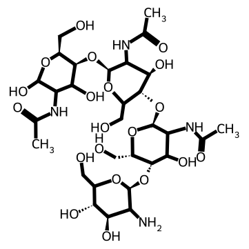 CC(=O)NC1C(O)O[C@@H](CO)[C@@H](O[C@@H]2OC(CO)[C@@H](O[C@@H]3O[C@@H](CO)[C@@H](O[C@@H]4OC(CO)[C@@H](O)[C@H](O)C4N)C(O)C3NC(C)=O)[C@H](O)C2NC(C)=O)C1O